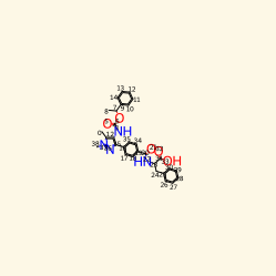 Cc1c(NC(=O)OC(C)c2ccccc2)c(-c2ccc(C(=O)NC(Cc3ccccc3)C(=O)O)cc2)nn1C